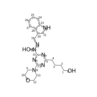 OCCCCc1nc(N2CCOCC2)nc(N(O)N=Cc2c[nH]c3ccccc23)n1